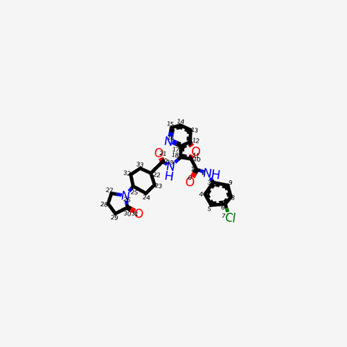 O=C(Nc1ccc(Cl)cc1)c1oc2cccnc2c1NC(=O)C1CCC(N2CCCC2=O)CC1